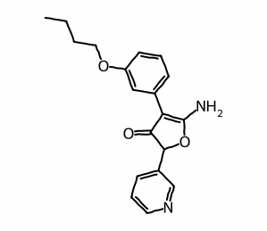 CCCCOc1cccc(C2=C(N)OC(c3cccnc3)C2=O)c1